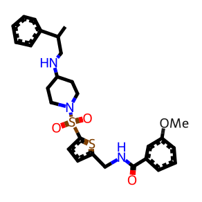 COc1cccc(C(=O)NCc2ccc(S(=O)(=O)N3CCC(NCC(C)c4ccccc4)CC3)s2)c1